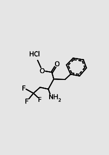 COC(=O)C(Cc1ccccc1)C(N)CC(F)(F)F.Cl